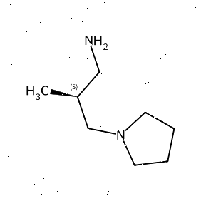 C[C@@H](CN)CN1CCCC1